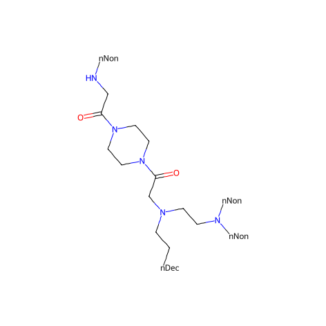 CCCCCCCCCCCCN(CCN(CCCCCCCCC)CCCCCCCCC)CC(=O)N1CCN(C(=O)CNCCCCCCCCC)CC1